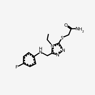 CCn1c(CNc2ccc(F)cc2)nnc1SCC(N)=O